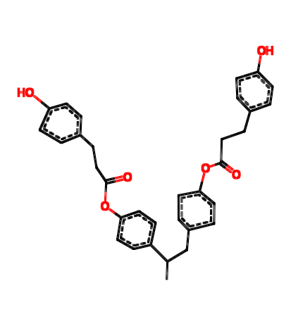 CC(Cc1ccc(OC(=O)CCc2ccc(O)cc2)cc1)c1ccc(OC(=O)CCc2ccc(O)cc2)cc1